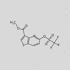 COC(=O)c1csc2ccc(OS(=O)(=O)C(F)(F)F)nc12